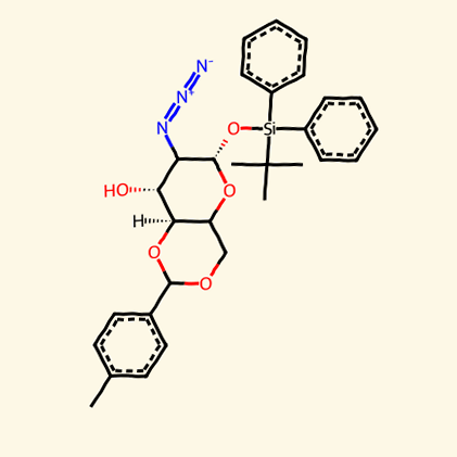 Cc1ccc(C2OCC3O[C@@H](O[Si](c4ccccc4)(c4ccccc4)C(C)(C)C)C(N=[N+]=[N-])[C@@H](O)[C@@H]3O2)cc1